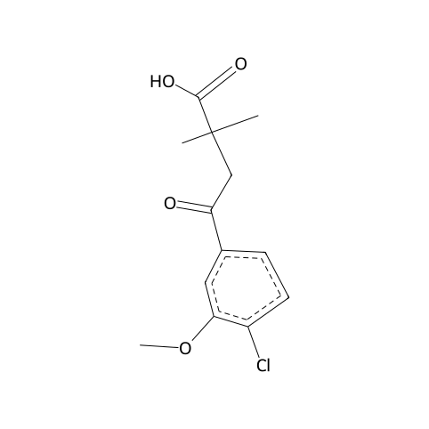 COc1cc(C(=O)CC(C)(C)C(=O)O)ccc1Cl